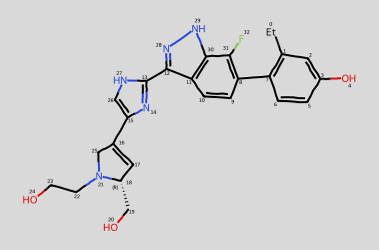 CCc1cc(O)ccc1-c1ccc2c(-c3nc(C4=C[C@H](CO)N(CCO)C4)c[nH]3)n[nH]c2c1F